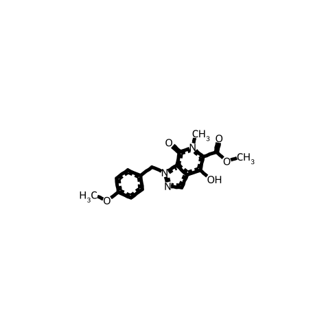 COC(=O)c1c(O)c2cnn(Cc3ccc(OC)cc3)c2c(=O)n1C